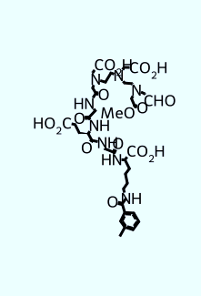 COC(=O)CN(CC=O)CCN(CCN(CC(=O)O)CC(=O)NCC(=O)N[C@H](CCC(=O)O)C(=O)NCC(=O)NC(CCCCNC(=O)c1cccc(C)c1)C(=O)O)CC(=O)O